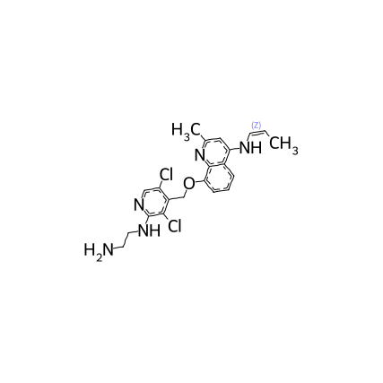 C/C=C\Nc1cc(C)nc2c(OCc3c(Cl)cnc(NCCN)c3Cl)cccc12